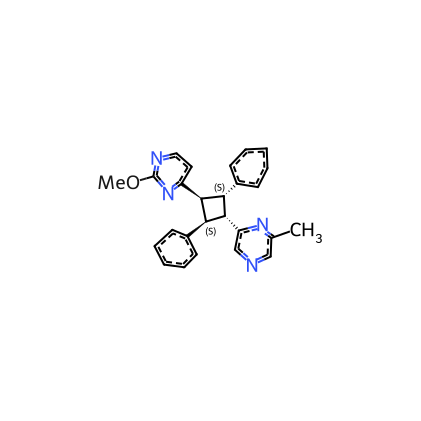 COc1nccc([C@H]2[C@H](c3ccccc3)[C@H](c3cncc(C)n3)[C@H]2c2ccccc2)n1